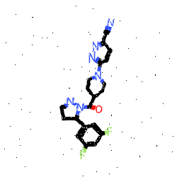 N#Cc1ccc(N2CCC(C(=O)N3N=CCC3c3cc(F)cc(F)c3)CC2)nn1